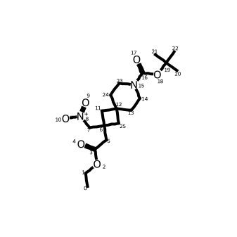 CCOC(=O)CC1(C[N+](=O)[O-])CC2(CCN(C(=O)OC(C)(C)C)CC2)C1